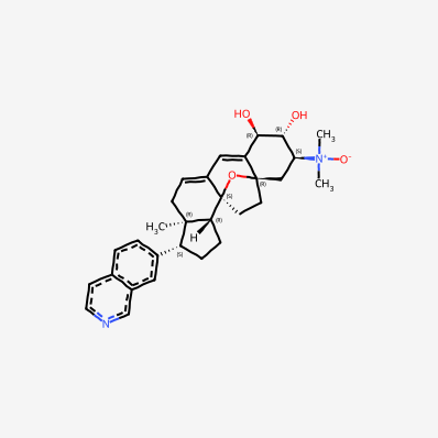 C[C@]12CC=C3C=C4[C@@H](O)[C@H](O)[C@@H]([N+](C)(C)[O-])C[C@]45CC[C@]3(O5)[C@@H]1CC[C@@H]2c1ccc2ccncc2c1